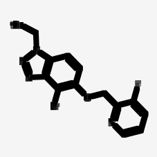 CC(C)(C)Cn1nnc2c(Br)c(OCc3ncccc3F)ccc21